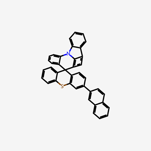 c1ccc2c(c1)Sc1cc(-c3ccc4ccccc4c3)ccc1C21c2ccccc2-n2c3ccccc3c3cccc1c32